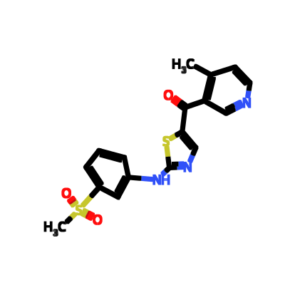 Cc1ccncc1C(=O)c1cnc(Nc2cccc(S(C)(=O)=O)c2)s1